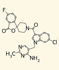 Cc1ncc(Cn2cc(C(=O)N3CCC4(CC3)OC(=O)c3cc(F)ccc34)c3ccc(Cl)cc32)c(N)n1